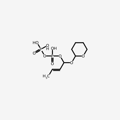 CC=CC(OC1CCCCO1)OP(=O)(O)OP(=O)(O)O